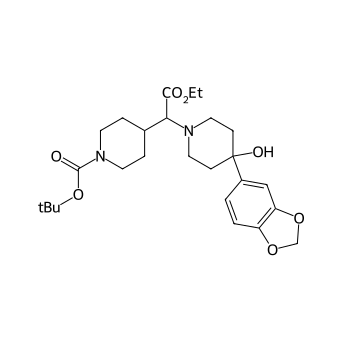 CCOC(=O)C(C1CCN(C(=O)OC(C)(C)C)CC1)N1CCC(O)(c2ccc3c(c2)OCO3)CC1